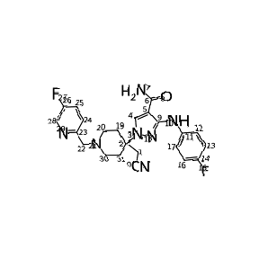 N#CCC1(n2cc(C(N)=O)c(Nc3ccc(F)cc3)n2)CCN(Cc2ccc(F)cn2)CC1